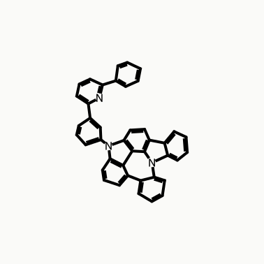 c1ccc(-c2cccc(-c3cccc(-n4c5cccc6c7ccccc7n7c8ccccc8c8ccc4c(c65)c87)c3)n2)cc1